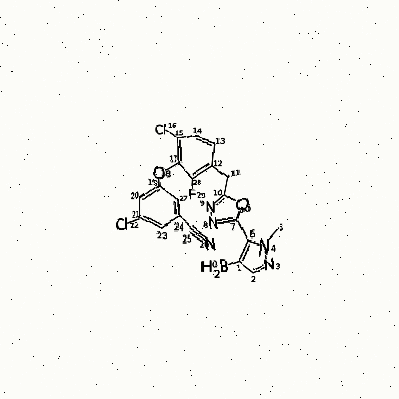 Bc1cnn(C)c1-c1nnc(Cc2ccc(Cl)c(Oc3cc(Cl)cc(C#N)c3)c2F)o1